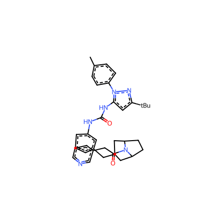 Cc1ccc(-n2nc(C(C)(C)C)cc2NC(=O)Nc2cccc(CC3CC4CCC(C3)N4C(=O)Cc3cccnc3)c2)cc1